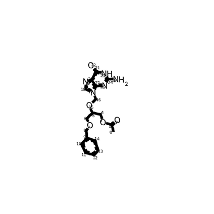 CC(=O)OCC(COCc1ccccc1)OCn1cnc2c(=O)[nH]c(N)nc21